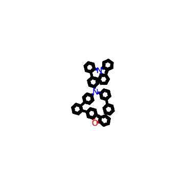 c1ccc(-c2cccc(N(c3ccc(-c4ccccc4-c4ccc5c(c4)oc4ccccc45)cc3)c3ccc(-c4ccccc4-n4c5ccccc5c5ccccc54)cc3)c2)cc1